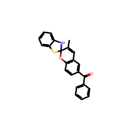 CC1=Cc2cc(C(=O)c3ccccc3)ccc2OC12Nc1ccccc1S2